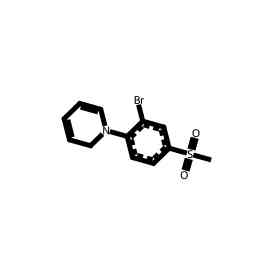 CS(=O)(=O)c1ccc(N2C=CC=CC2)c(Br)c1